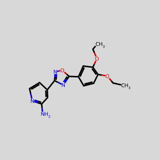 CCOc1ccc(-c2nc(-c3ccnc(N)c3)no2)cc1OCC